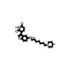 O=C1CCC(c2coc3ccc(NCCCCCCCN4CCCCC4)cc23)C(=O)N1